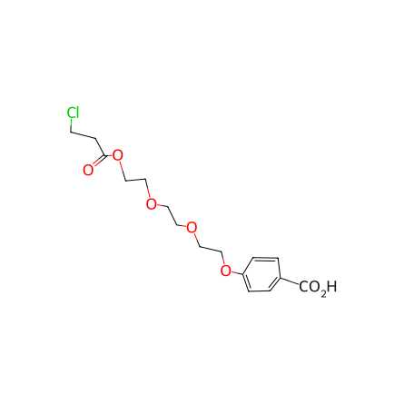 O=C(CCCl)OCCOCCOCCOc1ccc(C(=O)O)cc1